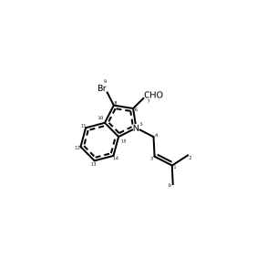 CC(C)=CCn1c(C=O)c(Br)c2ccccc21